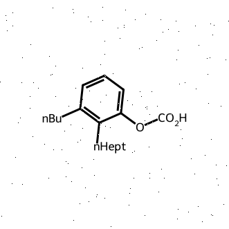 CCCCCCCc1c(CCCC)cccc1OC(=O)O